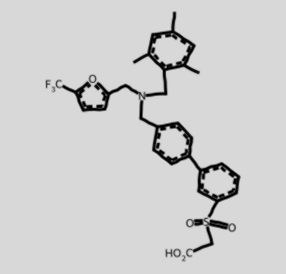 Cc1cc(C)c(CN(Cc2ccc(-c3cccc(S(=O)(=O)CC(=O)O)c3)cc2)Cc2ccc(C(F)(F)F)o2)c(C)c1